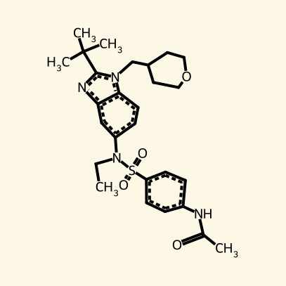 CCN(c1ccc2c(c1)nc(C(C)(C)C)n2CC1CCOCC1)S(=O)(=O)c1ccc(NC(C)=O)cc1